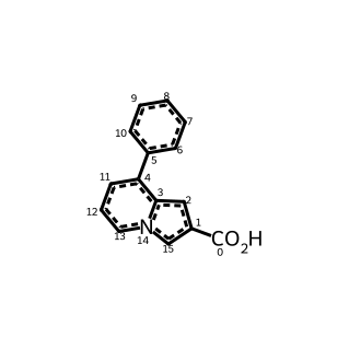 O=C(O)c1cc2c(-c3ccccc3)cccn2c1